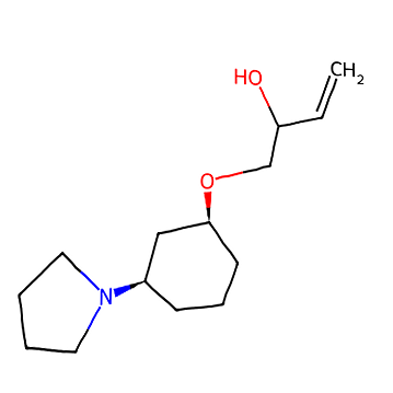 C=CC(O)CO[C@H]1CCC[C@@H](N2CCCC2)C1